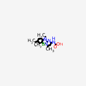 CCN(c1nc(C)cc(NC(=O)O)n1)c1ccc(C(C)C)cc1Br